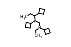 CCC(C1CCC1)C(CN(CC)C1CCC1)C1CCC1